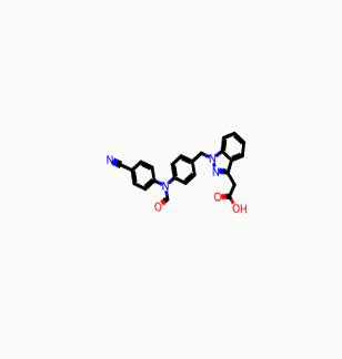 N#Cc1ccc(N(C=O)c2ccc(Cn3nc(CC(=O)O)c4ccccc43)cc2)cc1